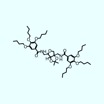 CCCCOc1cc(C(=O)NC[C@H]2OC[C@]3(CNC(=O)c4cc(OCCCC)c(OCCCC)c(OCCCC)c4)OC(C)(C)O[C@H]23)cc(OCCCC)c1OCCCC